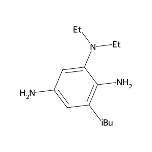 CCC(C)c1cc(N)cc(N(CC)CC)c1N